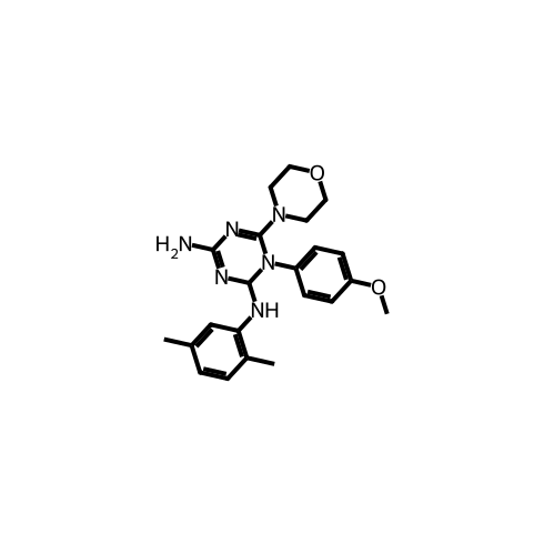 COc1ccc(N2C(N3CCOCC3)=NC(N)=NC2Nc2cc(C)ccc2C)cc1